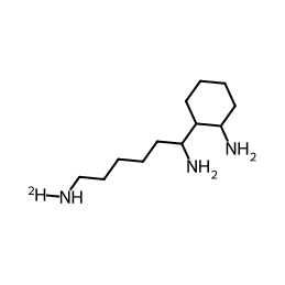 [2H]NCCCCCC(N)C1CCCCC1N